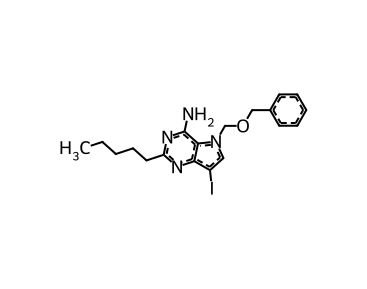 CCCCCc1nc(N)c2c(n1)c(I)cn2COCc1ccccc1